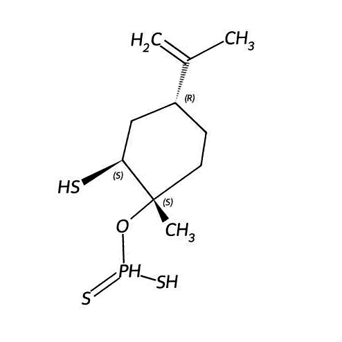 C=C(C)[C@@H]1CC[C@](C)(O[PH](=S)S)[C@@H](S)C1